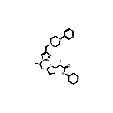 C[C@H](C(=O)NC1CCCCC1)[C@@H]1CC[C@H](C[C@@H](C)n2cc(CN3CCN(c4ccccc4)CC3)nn2)O1